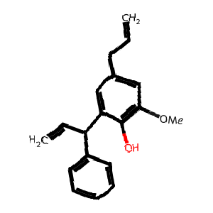 C=CCc1cc(OC)c(O)c(C(C=C)c2ccccc2)c1